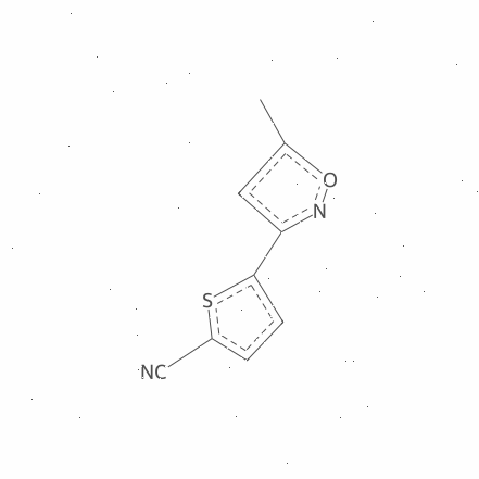 Cc1cc(-c2ccc(C#N)s2)no1